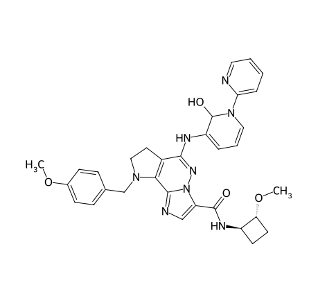 COc1ccc(CN2CCc3c(NC4=CC=CN(c5ccccn5)C4O)nn4c(C(=O)N[C@@H]5CC[C@H]5OC)cnc4c32)cc1